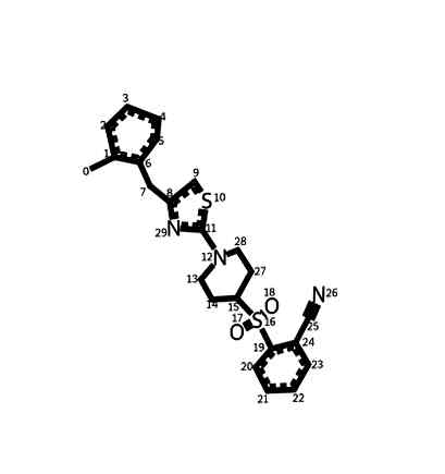 Cc1ccccc1Cc1csc(N2CCC(S(=O)(=O)c3ccccc3C#N)CC2)n1